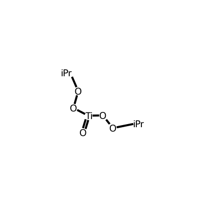 CC(C)O[O][Ti](=[O])[O]OC(C)C